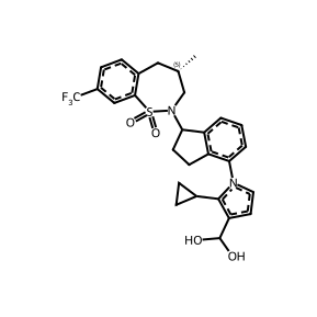 C[C@H]1Cc2ccc(C(F)(F)F)cc2S(=O)(=O)N(C2CCc3c2cccc3-n2ccc(C(O)O)c2C2CC2)C1